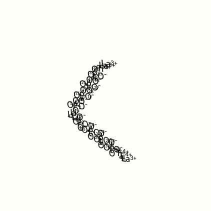 O=P([O-])([O-])[O-].O=P([O-])([O-])[O-].O=P([O-])([O-])[O-].O=P([O-])([O-])[O-].O=P([O-])([O-])[O-].O=P([O-])([O-])[O-].O=P([O-])([O-])[O-].O=P([O-])([O-])[O-].[La+3].[La+3].[La+3].[Li+].[Li+].[Li+].[Ti+4].[Ti+4].[Ti+4]